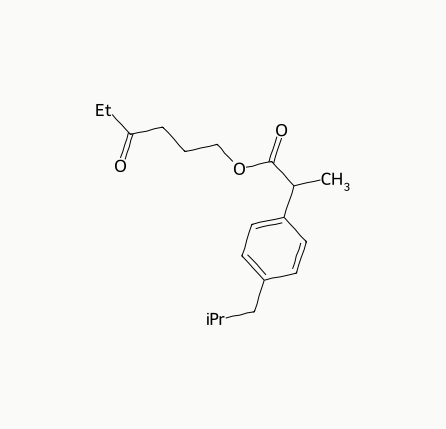 CCC(=O)CCCOC(=O)C(C)c1ccc(CC(C)C)cc1